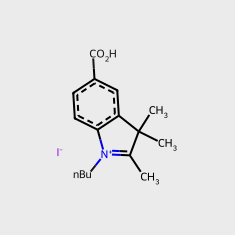 CCCC[N+]1=C(C)C(C)(C)c2cc(C(=O)O)ccc21.[I-]